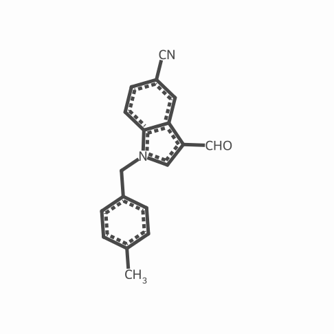 Cc1ccc(Cn2cc(C=O)c3cc(C#N)ccc32)cc1